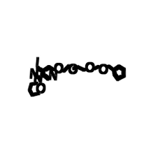 Ic1nn(C2CCCCO2)c2cnc(OCCOCCOCCOCc3ccccc3)cc12